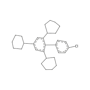 Clc1ccc(-c2c(C3CCCCC3)cc(C3CCCCC3)cc2C2CCCCC2)cc1